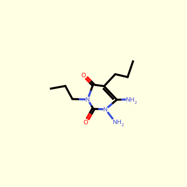 CCCc1c(N)n(N)c(=O)n(CCC)c1=O